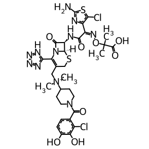 CC(C)(O/N=C(\C(=O)N[C@@H]1C(=O)N2C(c3nnn[nH]3)=C(C[N+](C)(C)C3CCN(C(=O)c4ccc(O)c(O)c4Cl)CC3)CS[C@H]12)c1nc(N)sc1Cl)C(=O)O